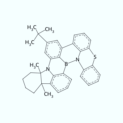 CC(C)(C)c1cc2c3c(c1)N1c4c(cccc4C4(C)CCCCC14C)B3N1c3ccccc3Sc3cccc-2c31